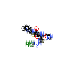 Cl.Cl.Cl.Cn1cncc1CON=C(C(=O)N[C@@H]1C(=O)N2C(C(=O)[O-])=C(C[n+]3ccccc3)CS[C@@H]12)c1csc(N)n1